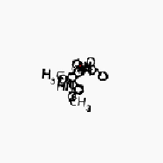 COc1cccc2c1[nH]c1c(OC)cc3c(c12)C[C@H]1[C@H]2CCCC[C@@]32CCN1C(=O)OCc1ccccc1